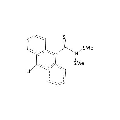 [Li][c]1c2ccccc2c(C(=S)N(SC)SC)c2ccccc12